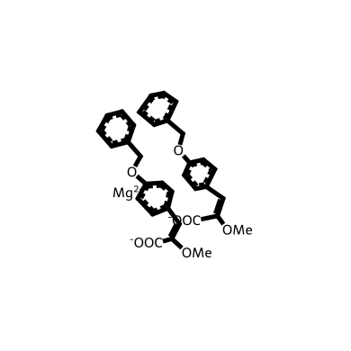 COC(=Cc1ccc(OCc2ccccc2)cc1)C(=O)[O-].COC(=Cc1ccc(OCc2ccccc2)cc1)C(=O)[O-].[Mg+2]